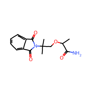 CC(OCC(C)(C)N1C(=O)c2ccccc2C1=O)C(N)=O